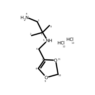 CC(C)(CN)NCC1=COCO1.Cl.Cl